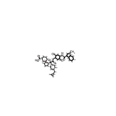 Cn1cc(C(=O)Nc2cc(Cl)c(CC(=O)C(O[C@H]3CC[C@H](C(=O)O)CC3)(N3CCCC3)N3CCN(CC4CC4)CC3)cc2Cl)c2ccccc21